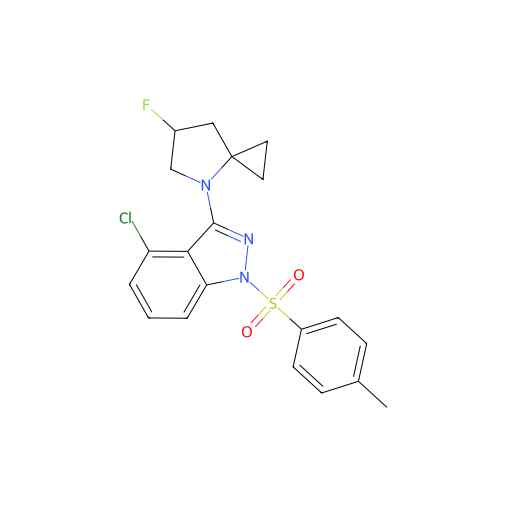 Cc1ccc(S(=O)(=O)n2nc(N3CC(F)CC34CC4)c3c(Cl)cccc32)cc1